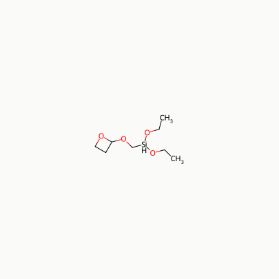 CCO[SiH](COC1CCO1)OCC